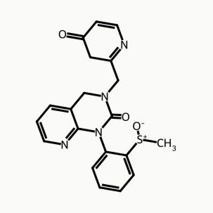 C[S+]([O-])c1ccccc1N1C(=O)N(CC2=NC=CC(=O)C2)Cc2cccnc21